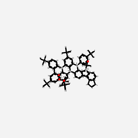 CC(C)(C)c1ccc(N2c3cc(C(C)(C)C)cc4c3B(c3cc(C(C)(C)C)ccc3N4c3ccc(C(C)(C)C)cc3-c3cc(C(C)(C)C)cc(C(C)(C)C)c3)c3ccc4c5c6c(ccc5n(C(C)(C)C)c4c32)CCC6)cc1